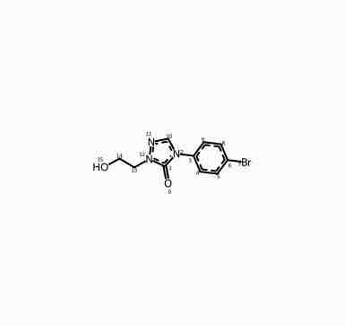 O=c1n(-c2ccc(Br)cc2)cnn1CCO